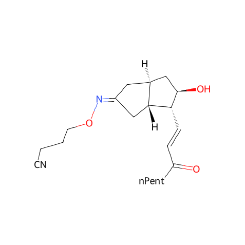 CCCCCC(=O)C=C[C@@H]1[C@@H]2C/C(=N\OCCCC#N)C[C@H]2C[C@H]1O